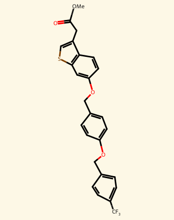 COC(=O)Cc1csc2cc(OCc3ccc(OCc4ccc(C(F)(F)F)cc4)cc3)ccc12